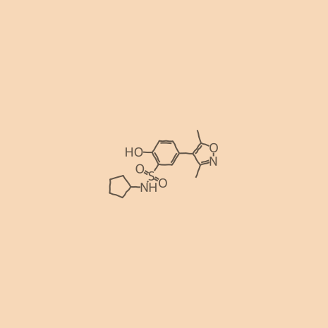 Cc1noc(C)c1-c1ccc(O)c(S(=O)(=O)NC2CCCC2)c1